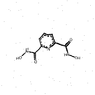 O=C(NO)c1cccc(C(=O)NO)n1